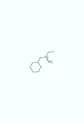 CC[C@@H](N)[CH]C1CCCCC1